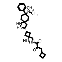 CN(C)C1(c2ccccc2)CCC2(CC1)CC([C@H]1C[C@@](O)(CNC(=O)C(=O)CC3CCC3)C1)NN2